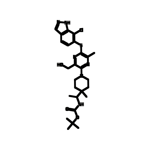 Cc1nc(N2CCC(C)(C(C)NC(=O)OC(C)(C)C)CC2)c(CO)nc1Sc1ccc2cn[nH]c2c1Cl